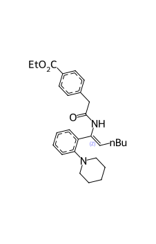 CCCC/C=C(\NC(=O)Cc1ccc(C(=O)OCC)cc1)c1ccccc1N1CCCCC1